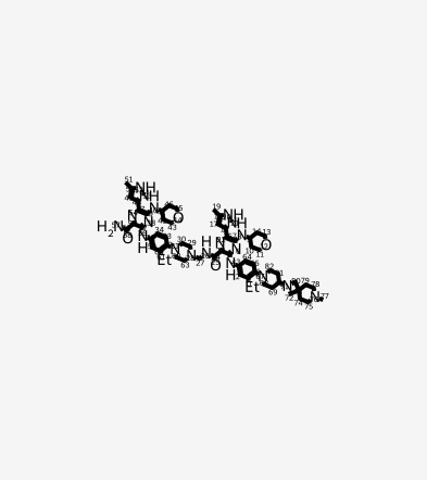 CCc1cc(Nc2nc(NC3CCOCC3)c(-c3cc(C)[nH]n3)nc2C(=O)NCN2CCN(c3ccc(Nc4nc(NC5CCOCC5)c(-c5cc(C)[nH]n5)nc4C(N)=O)cc3CC)CC2)ccc1N1CCC(N2CC3(CCN(C)CC3)C2)CC1